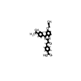 C#CCOc1ccc2nc(C(=O)Cc3ccc(C(=O)O)cc3)nc(-c3ccc(C(C)C)cc3)c2c1